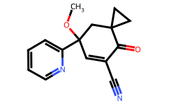 COC1(c2ccccn2)C=C(C#N)C(=O)C2(CC2)C1